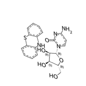 Nc1ccn([C@@H]2O[C@H](CO)[C@@H](O)[C@H]2O)c(=O)n1.c1ccc2c(c1)Nc1ccccc1S2